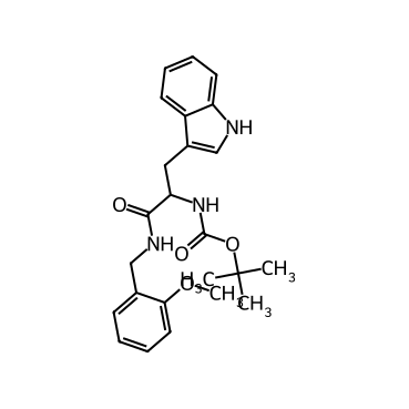 COc1ccccc1CNC(=O)C(Cc1c[nH]c2ccccc12)NC(=O)OC(C)(C)C